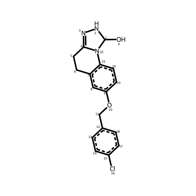 OC1NN=C2CCc3cc(OCc4ccc(Cl)cc4)ccc3N21